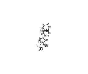 COC(C)c1ncc(N2CCN3CCCC[C@@H]3C2)cc1Br